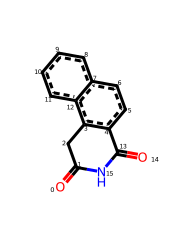 O=C1Cc2c(ccc3ccccc23)C(=O)N1